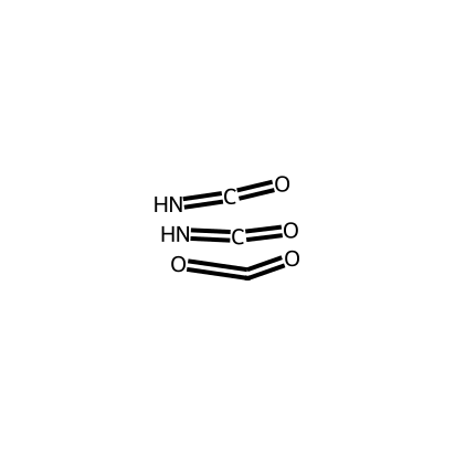 N=C=O.N=C=O.O=C=O